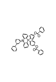 O=C(Oc1ccc(C2(c3ccc(OC(=O)c4ccccc4)cc3)c3ccccc3N(c3cccc(-c4ccccc4)c3)c3ccccc32)cc1)c1ccccc1